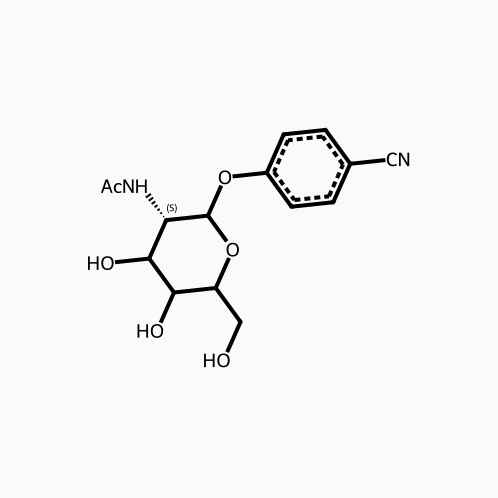 CC(=O)N[C@@H]1C(Oc2ccc(C#N)cc2)OC(CO)C(O)C1O